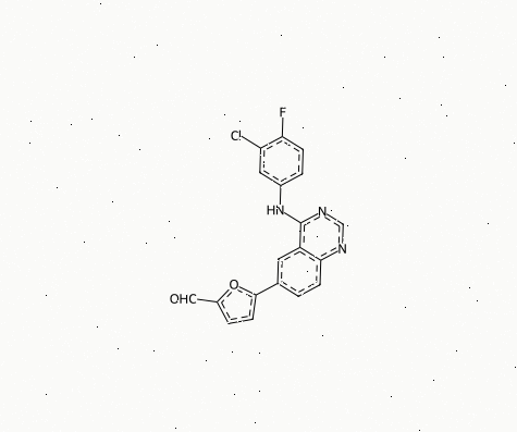 O=Cc1ccc(-c2ccc3ncnc(Nc4ccc(F)c(Cl)c4)c3c2)o1